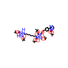 CC(C)(C)OC(=O)/N=C(/NCCCCCCCCN(C(=O)OC(C)(C)C)/C(=N/C(=O)OC(C)(C)C)N(CCOCc1ccc(C2=NCCCN2C(=O)OC(C)(C)C)cc1)C(=O)OC(C)(C)C)NC(=O)OC(C)(C)C